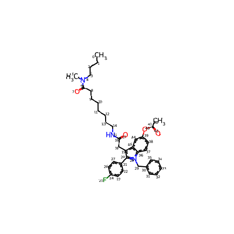 CCCCN(C)C(=O)CCCCCCCNC(=O)Cc1c(-c2ccc(F)cc2)n(Cc2ccccc2)c2ccc(OC(C)=O)cc12